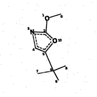 COc1ncc(C(C)(C)C)o1